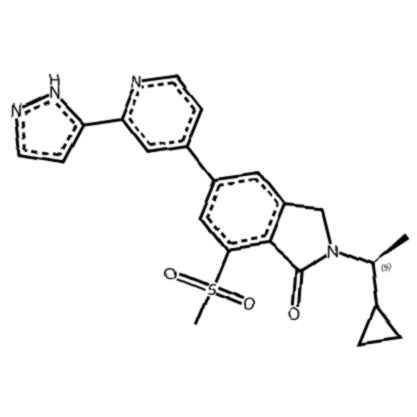 C[C@@H](C1CC1)N1Cc2cc(-c3ccnc(-c4ccn[nH]4)c3)cc(S(C)(=O)=O)c2C1=O